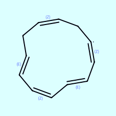 [C]1=C/C=C/C=C\C=C\C/C=C\C\1